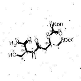 CCCCCCCCCCC[C@H](CC(=O)N[C@@H](CO)C(N)=O)OC(=O)CCCCCCCCC